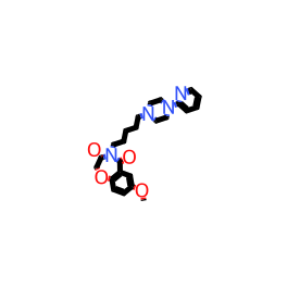 COc1ccc2c(c1)C(=O)N(CCCCCN1CCN(c3ccccn3)CC1)C(=O)CO2